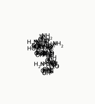 CNC(=O)[C@H](Cc1cn(CCP(=O)(O)O)nn1)NC(=O)[C@H](CCCCN)NC(=O)[C@H](C)NC(=O)[C@H](Cc1cn(CCP(=O)(O)O)nn1)NC(=O)[C@H](CCCCN)NC(=O)[C@H](C)NC(=O)[C@H](Cc1cn(CCP(=O)(O)O)nn1)NC(=O)[C@H](CCCCN)NC(=O)[C@H](C)N